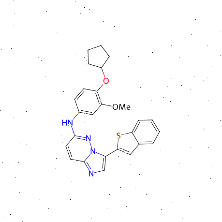 COc1cc(Nc2ccc3ncc(-c4cc5ccccc5s4)n3n2)ccc1OC1CCCC1